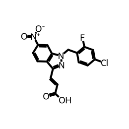 O=C(O)C=Cc1nn(Cc2ccc(Cl)cc2F)c2cc([N+](=O)[O-])ccc12